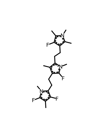 Cc1c(F)c(CCc2c(C)c(CCc3c(F)c(C)n(C)c3C)n(C)c2F)n(C)c1F